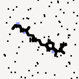 C=NN(C)/C(C)=C1\CSC(CCNCC/C(C)=N/C=C\C)=N1